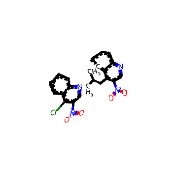 CC(C)Cc1c([N+](=O)[O-])cnc2ccccc12.O=[N+]([O-])c1cnc2ccccc2c1Cl